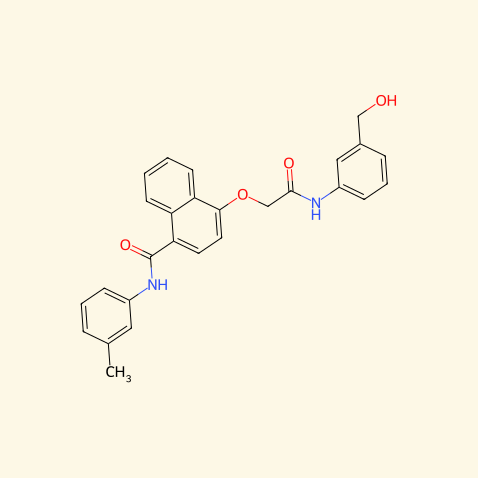 Cc1cccc(NC(=O)c2ccc(OCC(=O)Nc3cccc(CO)c3)c3ccccc23)c1